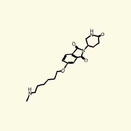 CNCCCCCCOc1ccc2c(c1)C(=O)N(C1CCC(=O)NC1)C2=O